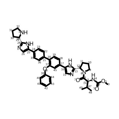 COC(=O)N[C@H](C(=O)N1CCC[C@H]1c1ncc(-c2ccc(-c3ccc(-c4cnc([C@@H]5CCCN5)[nH]4)cc3)c(Oc3ccccc3)c2)[nH]1)C(C)C